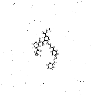 COC(=O)c1ccc(OCCCc2ccc(OCCC3CCCCC3)cc2)c(C(=O)NC2CCCC(C(=O)OC)C2)c1